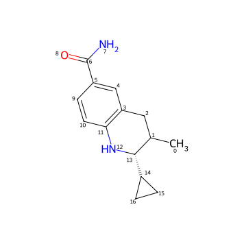 CC1Cc2cc(C(N)=O)ccc2N[C@H]1C1CC1